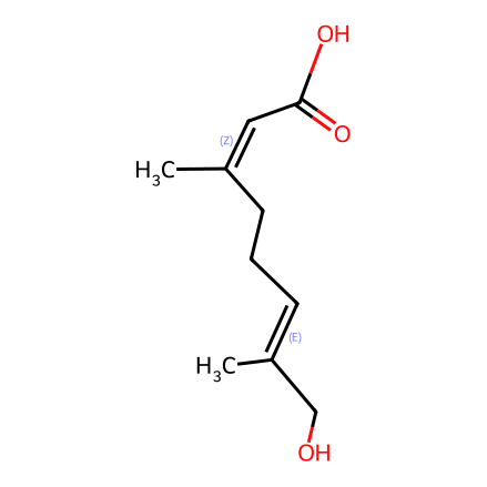 C/C(=C/C(=O)O)CC/C=C(\C)CO